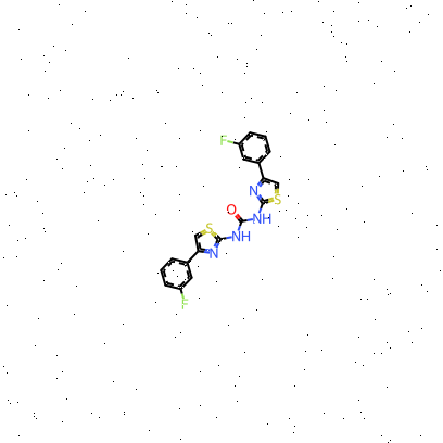 O=C(Nc1nc(-c2cccc(F)c2)cs1)Nc1nc(-c2cccc(F)c2)cs1